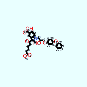 COC(=O)CCCCC(=O)c1c(C)n(CC(O)COc2ccc(Oc3ccccc3)cc2)c2ccc(C(=O)O)cc12